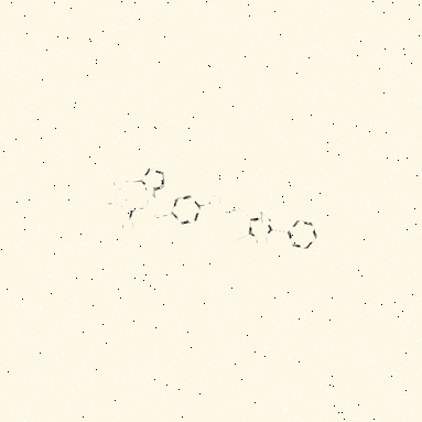 COC(=O)[C@H](Cc1ccc(OCCc2nc(-c3ccccc3)oc2C)cc1)n1cccc1Cl